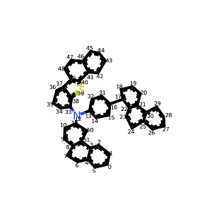 c1ccc2c(c1)ccc1ccc(N(c3ccc(-c4cccc5c4ccc4ccccc45)cc3)c3cccc4c3sc3c5ccccc5ccc43)cc12